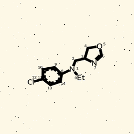 CCN(CC1CO[C]=N1)c1ccc(Cl)cc1